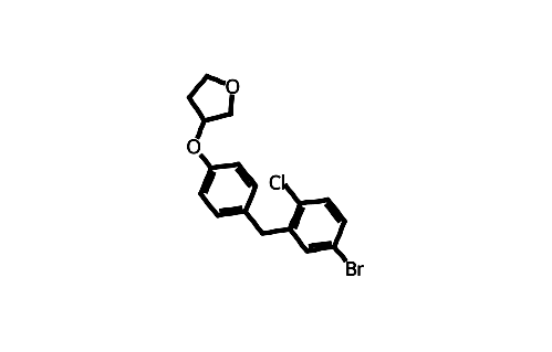 Clc1ccc(Br)cc1Cc1ccc(OC2CCOC2)cc1